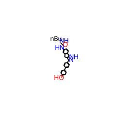 CCCCNCC(=O)Nc1ccc2c(c1)Cc1c(-c3ccc(-c4ccc(O)cc4)cc3)n[nH]c1-2